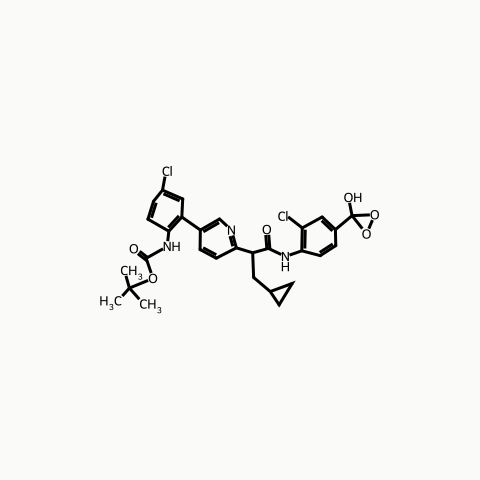 CC(C)(C)OC(=O)Nc1ccc(Cl)cc1-c1ccc(C(CC2CC2)C(=O)Nc2ccc(C3(O)OO3)cc2Cl)nc1